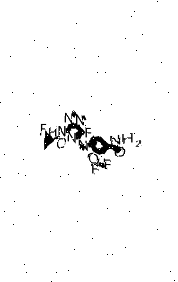 CN(c1cc2c(ncn2C)c(NC(=O)[C@H]2C[C@H]2F)n1)c1c(F)cc(C(N)=O)cc1OC(F)F